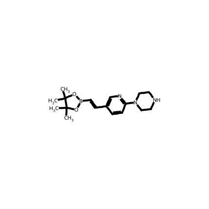 CC1(C)OB(/C=C/c2ccc(N3CCNCC3)nc2)OC1(C)C